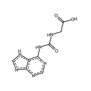 O=C(O)CNC(=O)Nc1ncnc2nc[nH]c12